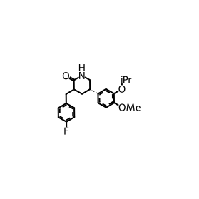 COc1ccc([C@H]2CNC(=O)C(Cc3ccc(F)cc3)C2)cc1OC(C)C